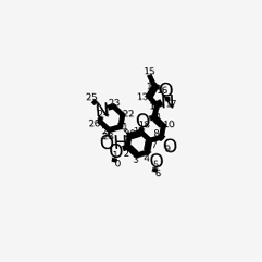 COc1cc(OC)c2c(=O)cc(-c3cc(C)on3)oc2c1[C@H]1CCN(C)C[C@H]1O